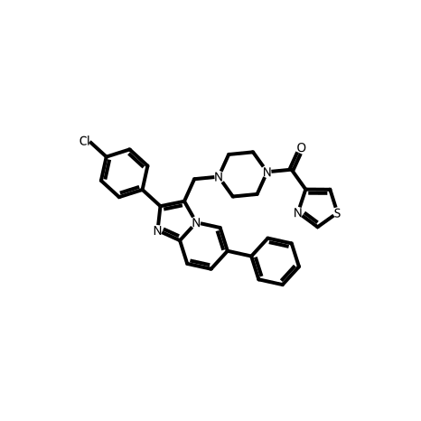 O=C(c1cscn1)N1CCN(Cc2c(-c3ccc(Cl)cc3)nc3ccc(-c4ccccc4)cn23)CC1